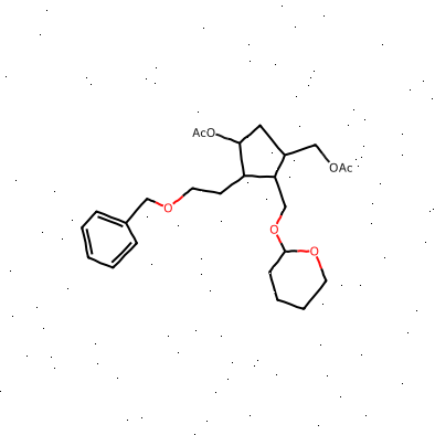 CC(=O)OCC1CC(OC(C)=O)C(CCOCc2ccccc2)C1COC1CCCCO1